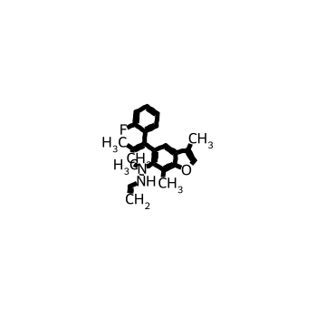 C=CNN(C)c1c(C(=C(C)C)c2ccccc2F)cc2c(C)coc2c1C